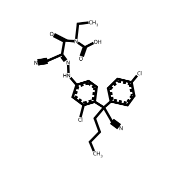 CCCCC(C#N)(c1ccc(Cl)cc1)c1ccc(N/N=C(\C#N)C(=O)N(CC)C(=O)O)cc1Cl